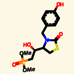 COP(=O)(C[C@@H](O)C1CSC(=O)N1Cc1ccc(O)cc1)OC